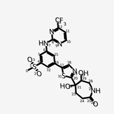 CS(=O)(=O)c1cc(Nc2nccc(C(F)(F)F)n2)cc(-c2cnc(C3(O)CCC(=O)NCC3O)s2)c1